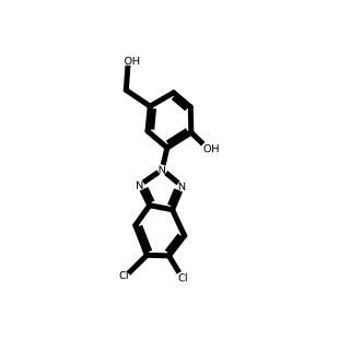 OCc1ccc(O)c(-n2nc3cc(Cl)c(Cl)cc3n2)c1